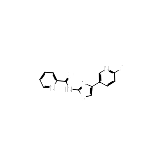 O=C(Nc1nc(-c2ccc(Cl)nc2)cs1)c1ccccn1